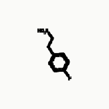 O=S(=O)(O)CCc1ccc(F)cc1